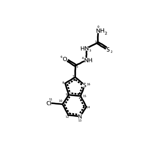 NC(=S)NNC(=O)c1cc2c(Cl)cncc2s1